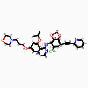 CC(C)Oc1cc(OCCCN2CCOCC2)cc2ncnc(Nc3c(Cl)cc(C#Cc4ccccn4)c4c3OCO4)c12